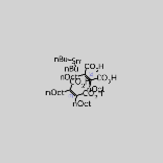 CCCCCCCC/C(C(=O)O)=C(\CCCCCCCC)C(=O)O.CCCCCCCC/C(C(=O)O)=C(\CCCCCCCC)C(=O)O.CCC[CH2][Sn][CH2]CCC